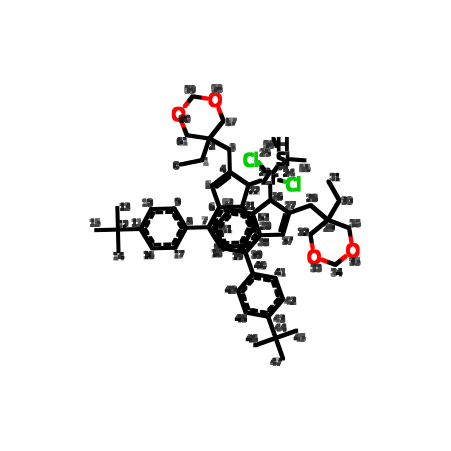 CCC1(CC2=Cc3c(-c4ccc(C(C)(C)C)cc4)cccc3[CH]2[Zr]([Cl])([Cl])([CH]2C(CC3(CC)COCOC3)=Cc3c(-c4ccc(C(C)(C)C)cc4)cccc32)[SiH](C)C)COCOC1